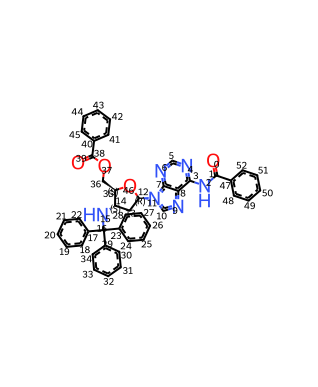 O=C(Nc1ncnc2c1ncn2[C@H]1C[C@H](NC(c2ccccc2)(c2ccccc2)c2ccccc2)[C@@H](COC(=O)c2ccccc2)O1)c1ccccc1